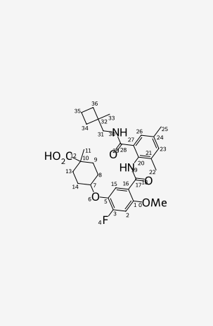 COc1cc(F)c(OC2CCC(C)(C(=O)O)CC2)cc1C(=O)Nc1c(C)cc(C)cc1C(=O)NCC1(C)CCC1